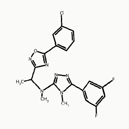 CC(c1noc(-c2cccc(Cl)c2)n1)N(C)c1nnc(-c2cc(F)cc(F)c2)n1C